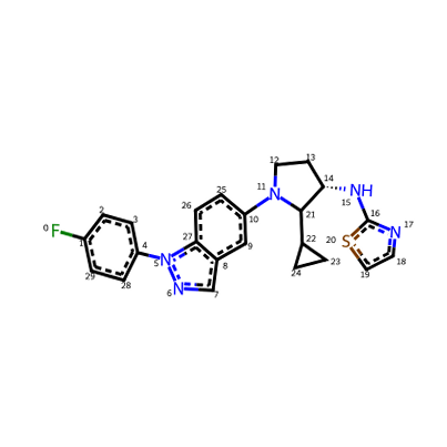 Fc1ccc(-n2ncc3cc(N4CC[C@H](Nc5nccs5)C4C4CC4)ccc32)cc1